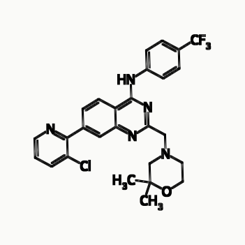 CC1(C)CN(Cc2nc(Nc3ccc(C(F)(F)F)cc3)c3ccc(-c4ncccc4Cl)cc3n2)CCO1